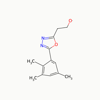 Cc1cc(C)c(C)c(-c2nnc(CC[O])o2)c1